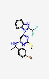 CSc1nc(NC(C)c2ccc(Br)cc2)cc(-n2c(C(F)F)nc3ccccc32)n1